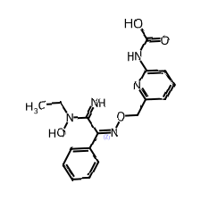 CCN(O)C(=N)/C(=N\OCc1cccc(NC(=O)O)n1)c1ccccc1